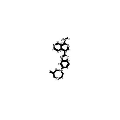 C=C1COCCN(c2ccc3oc(-c4cnc(NC)c5cnccc45)nc3c2)C1